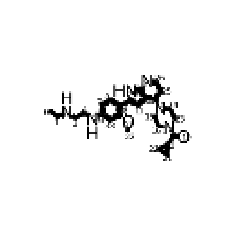 CCNCCNc1ccc(-c2cc3c(N4CCN(C(=O)C5CC5)CC4)ccnc3[nH]2)c(OC)c1